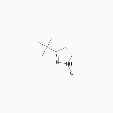 CC(C)(C)C1=N[NH+]([O-])CC1